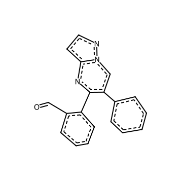 O=Cc1ccccc1-c1nc2ccnn2cc1-c1ccccc1